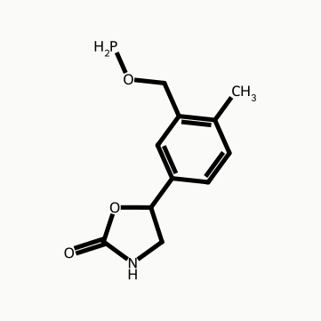 Cc1ccc(C2CNC(=O)O2)cc1COP